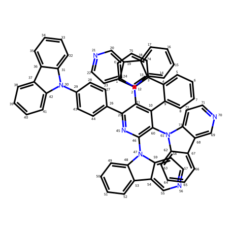 c1ccc(-c2ccccc2-c2c(-n3c4ccccc4c4cnccc43)c(-c3ccc(-n4c5ccccc5c5ccccc54)cc3)nc(-n3c4ccccc4c4cnccc43)c2-n2c3ccccc3c3cnccc32)cc1